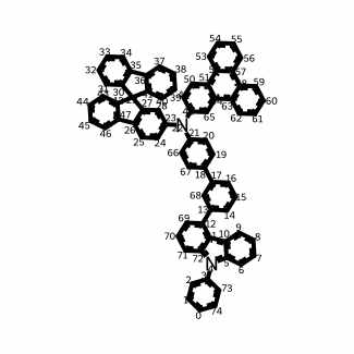 c1ccc(-n2c3ccccc3c3c(-c4cccc(-c5ccc(N(c6ccc7c(c6)C6(c8ccccc8-c8ccccc86)c6ccccc6-7)c6ccc7c8ccccc8c8ccccc8c7c6)cc5)c4)cccc32)cc1